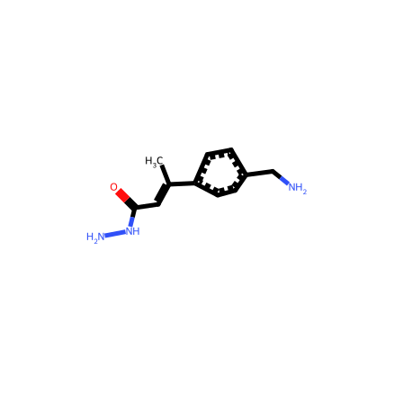 CC(=CC(=O)NN)c1ccc(CN)cc1